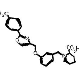 Cc1ccc(-c2nc(COc3cccc(CN4CCCCC4C(=O)O)c3)co2)cc1